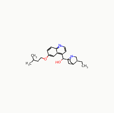 CCC1CN2CCC1CC2C(O)c1ccnc2ccc(OCCC(C)C)cc12